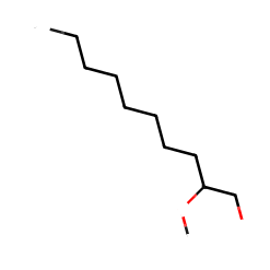 CCCCCCCCCCCCCCC(CO)OCC